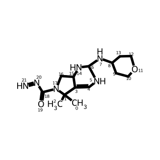 CC1(C)C2=CNC(NC3CCOCC3)NC2CN1C(=O)N=N